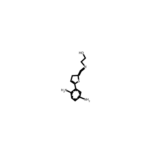 Nc1ccc(N)c(C2=CCC(=C=NCCO)S2)c1